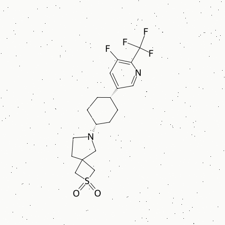 O=S1(=O)CC2(CCN([C@H]3CC[C@@H](c4cnc(C(F)(F)F)c(F)c4)CC3)C2)C1